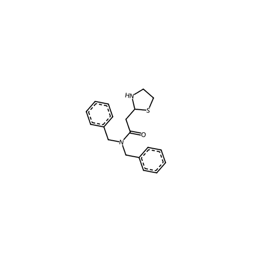 O=C(CC1NCCS1)N(Cc1ccccc1)Cc1ccccc1